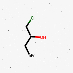 CCCCC(O)CCl